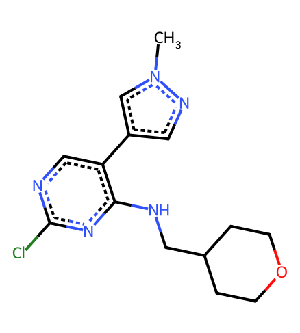 Cn1cc(-c2cnc(Cl)nc2NCC2CCOCC2)cn1